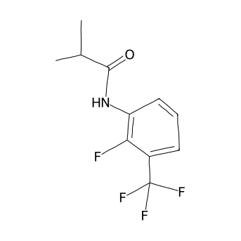 CC(C)C(=O)Nc1cccc(C(F)(F)F)c1F